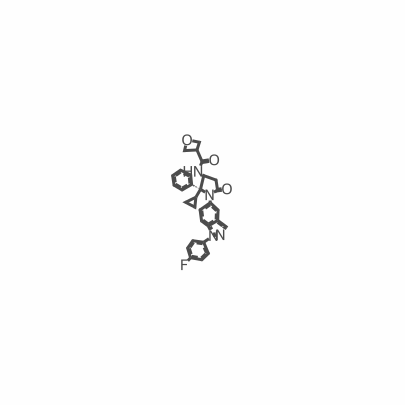 O=C(N[C@H]1CC(=O)N(c2ccc3c(cnn3-c3ccc(F)cc3)c2)[C@@]1(c1ccccc1)C1CC1)C1COC1